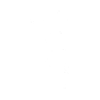 O=C(Oc1ccccc1O)Oc1ccccc1O